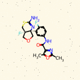 Cc1nc(C(=O)Nc2ccc(F)c([C@]34COC[C@@]3(F)CSC(N)=N4)c2)c(C)o1